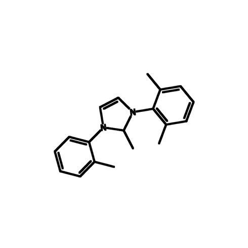 Cc1ccccc1N1C=CN(c2c(C)cccc2C)C1C